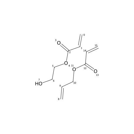 C=CC(=O)OCCO.C=CCOC(=O)C=C